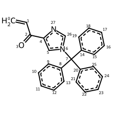 C=CC(=O)c1cn(C(c2ccccc2)(c2ccccc2)c2ccccc2)cn1